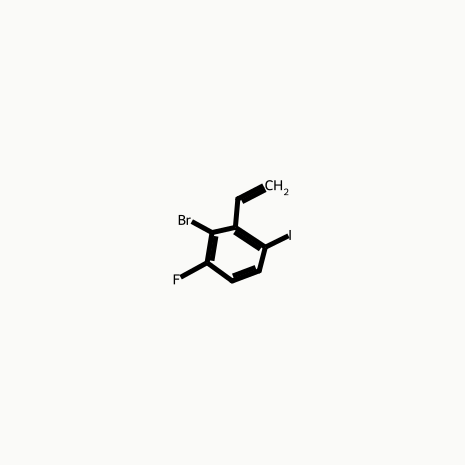 C=Cc1c(I)ccc(F)c1Br